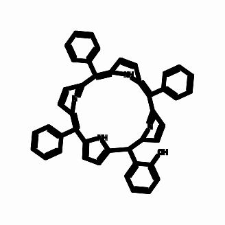 Oc1ccccc1C1c2ccc([nH]2)/C(c2ccccc2)=C2/C=CC(=N2)/C(c2ccccc2)=c2/cc/c([nH]2)=C(\c2ccccc2)C2=NC1C=C2